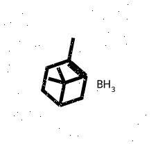 B.CC1=C2CC(CC1)C2(C)C